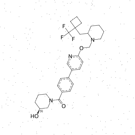 O=C(c1ccc(-c2ccc(OCN3CCCCC3CC3(C(F)(F)F)CCC3)nc2)cc1)N1CCC[C@H](O)C1